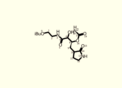 CC(C)COCCNC(=O)C(O)[C@H](CC1CCNC1=O)OC(N)=O